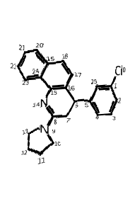 Clc1cccc(C2CC(N3CCCC3)=Nc3c2ccc2ccccc32)c1